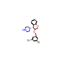 Brc1cc(Br)cc(CO[C@@H]2COc3ccccc3[C@H]2N2CCNCC2)c1